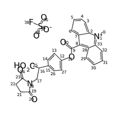 C[n+]1c2ccccc2c(C(=O)Oc2ccc(C(CN3C(=O)CCC3=O)C(=O)O)cc2)c2ccccc21.O=S(=O)([O-])F